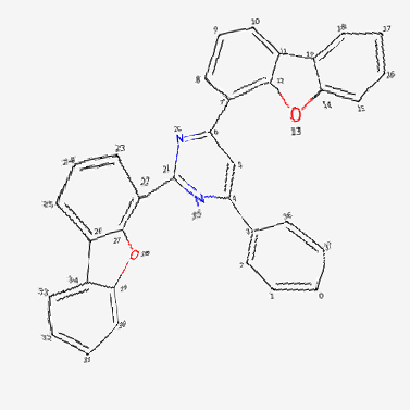 c1ccc(-c2cc(-c3cccc4c3oc3ccccc34)nc(-c3cccc4c3oc3ccccc34)n2)cc1